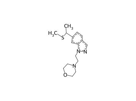 CSC(C)c1ccc2cnn(CCN3CCOCC3)c2c1